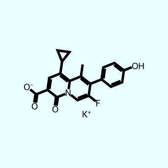 Cc1c(-c2ccc(O)cc2)c(F)cn2c(=O)c(C(=O)[O-])cc(C3CC3)c12.[K+]